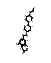 CCC[C@H]1CC[C@H]([C@H]2CC[C@H](CCc3cc(F)c(OC(F)F)c(F)c3)CC2)CC1